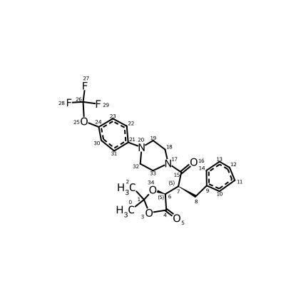 CC1(C)OC(=O)[C@H]([C@H](Cc2ccccc2)C(=O)N2CCN(c3ccc(OC(F)(F)F)cc3)CC2)O1